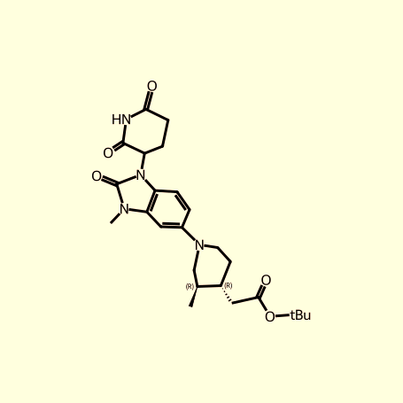 C[C@H]1CN(c2ccc3c(c2)n(C)c(=O)n3C2CCC(=O)NC2=O)CC[C@@H]1CC(=O)OC(C)(C)C